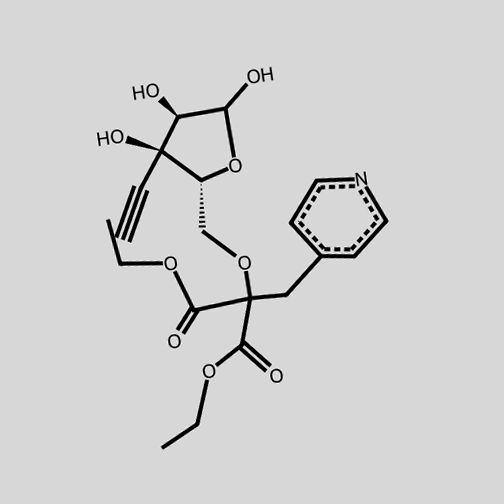 C#C[C@@]1(O)[C@@H](COC(Cc2ccncc2)(C(=O)OCC)C(=O)OCC)OC(O)[C@@H]1O